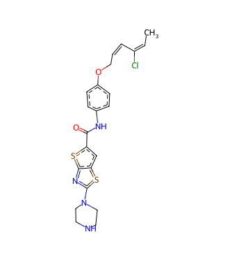 C/C=C(Cl)\C=C/COc1ccc(NC(=O)c2cc3sc(N4CCNCC4)nc3s2)cc1